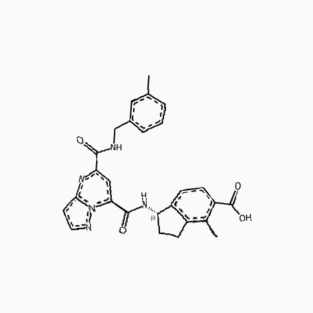 Cc1cccc(CNC(=O)c2cc(C(=O)N[C@H]3CCc4c3ccc(C(=O)O)c4C)n3nccc3n2)c1